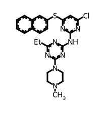 CCc1nc(Nc2nc(Cl)cc(Sc3ccc4ccccc4c3)n2)nc(N2CCN(C)CC2)n1